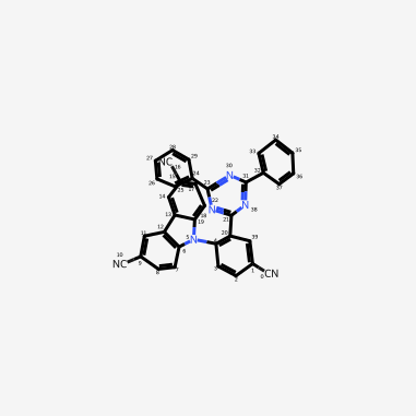 N#Cc1ccc(-n2c3ccc(C#N)cc3c3cc(C#N)ccc32)c(-c2nc(-c3ccccc3)nc(-c3ccccc3)n2)c1